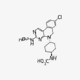 CCCCNc1ncc2c(n1)N([C@H]1CC[C@H](NC(=O)O)CC1)Cc1cc(Cl)ccc1-2